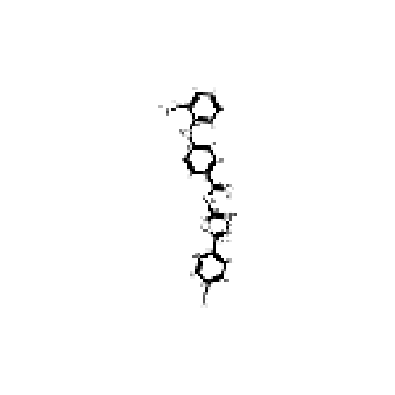 Cc1ccccc1Oc1ccc(C(=O)Nc2nnc(-c3ccc(F)cc3)o2)cc1